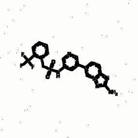 Nc1nc2ccc(-c3cncc(NS(=O)(=O)Cc4ccccc4C(F)(F)F)c3)cn2n1